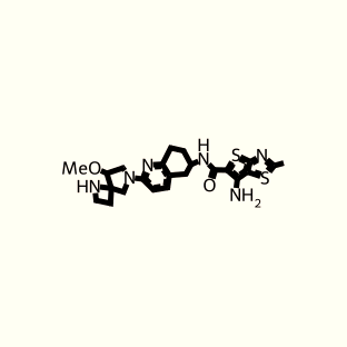 COC1CN(c2ccc3c(n2)CCC(NC(=O)c2sc4nc(C)sc4c2N)C3)CC12CCN2